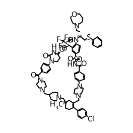 C[C@@]1(CN2CCC(CN3CCN(C(=O)c4ccc(N5CCC(=O)NC5=O)cc4)CC3)CC2)CCC(c2ccc(Cl)cc2)=C(CN2CCN(c3ccc(C(=O)NS(=O)(=O)c4ccc(N[C@H](CCN5CCCOCC5)CSc5ccccc5)c(S(=O)(=O)C(F)(F)F)c4)cc3)CC2)C1